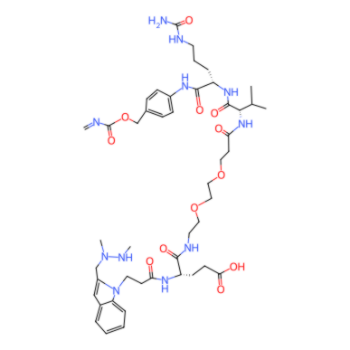 C=NC(=O)OCc1ccc(NC(=O)[C@H](CCCNC(N)=O)NC(=O)[C@@H](NC(=O)CCOCCOCCNC(=O)[C@H](CCC(=O)O)NC(=O)CCn2c(CN(C)NC)cc3ccccc32)C(C)C)cc1